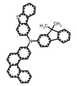 CC1(C)c2ccccc2-c2ccc(N(c3ccc4c(ccc5ccc6ccccc6c54)c3)c3ccc4sc5ccccc5c4c3)cc21